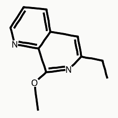 CCc1cc2cccnc2c(OC)n1